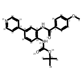 COc1ccc(C(=O)Nc2cc(-c3ccncc3)ccc2NC(=O)OC(C)(C)C)cc1